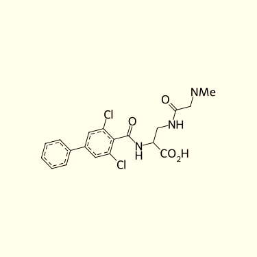 CNCC(=O)NCC(NC(=O)c1c(Cl)cc(-c2ccccc2)cc1Cl)C(=O)O